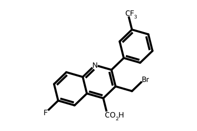 O=C(O)c1c(CBr)c(-c2cccc(C(F)(F)F)c2)nc2ccc(F)cc12